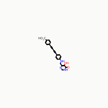 O=C(O)c1ccc(C#CC#Cc2ccc(NCc3nc[nH]c(=O)c3O)cc2)cc1